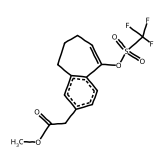 COC(=O)Cc1ccc2c(c1)CCCC=C2OS(=O)(=O)C(F)(F)F